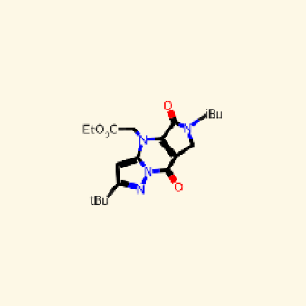 CCOC(=O)Cn1c2c(c(=O)n3nc(C(C)(C)C)cc13)CN(C(C)CC)C2=O